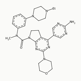 CCN1CCN(c2cccc(N(C)C(=O)N3CCc4c(-c5cnc(N)nc5)nc(N5CCOCC5)nc43)c2)CC1